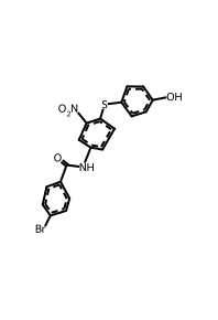 O=C(Nc1ccc(Sc2ccc(O)cc2)c([N+](=O)[O-])c1)c1ccc(Br)cc1